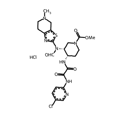 COC(=O)N1CC[C@H](NC(=O)C(=O)Nc2ccc(Cl)cn2)[C@H](N(C=O)c2nc3c(s2)CN(C)CC3)C1.Cl